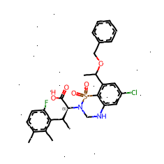 Cc1ccc(F)c(C(C)[C@@H](C(=O)O)N2CNc3cc(Cl)cc(C(C)OCc4ccccc4)c3S2(=O)=O)c1C